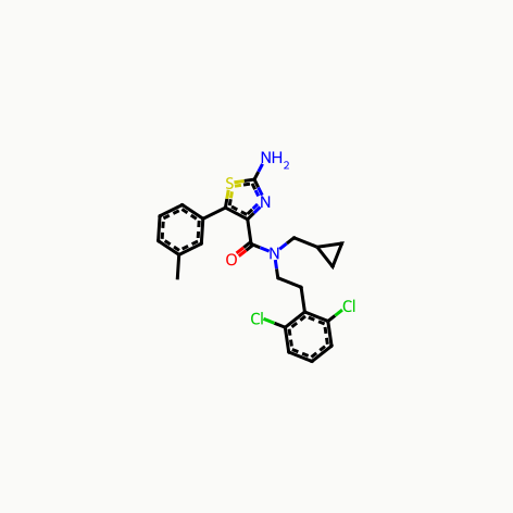 Cc1cccc(-c2sc(N)nc2C(=O)N(CCc2c(Cl)cccc2Cl)CC2CC2)c1